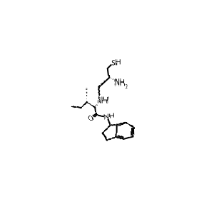 CC[C@H](C)[C@H](NC[C@@H](N)CS)C(=O)NC1CCc2ccccc21